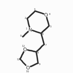 CN1CCOCC1CC1COCO1